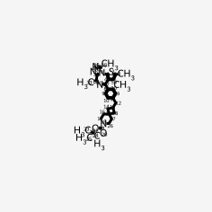 Cc1sc2c(c1C)C(c1ccc(CC3CC4(CCN(C(=O)OC(C)(C)C)CC4)C3)cc1)=N[C@@H](C)c1nnc(C)n1-2